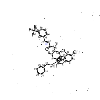 CC1C[C@@]2(O)[C@H]3Cc4ccc(O)c5c4[C@@]2(CCN3CCc2ccccc2)C(O5)C1N(C)C(=O)/C=C/c1cccc(C(F)(F)F)c1